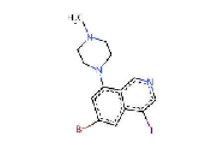 CN1CCN(c2cc(Br)cc3c(I)cncc23)CC1